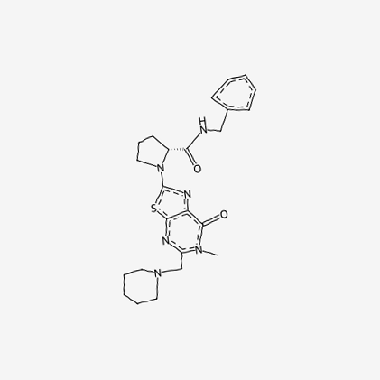 Cn1c(CN2CCCCC2)nc2sc(N3CCC[C@@H]3C(=O)NCc3ccccc3)nc2c1=O